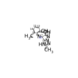 CC1=NN2N=C(O)/C(=N\c3c(C)cccc3C)C2N1